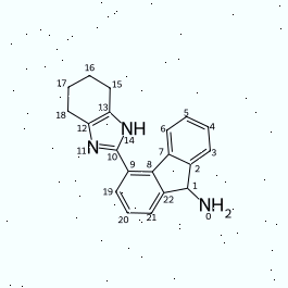 NC1c2ccccc2-c2c(-c3nc4c([nH]3)CCCC4)cccc21